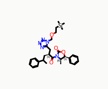 CC(C[C@@H](Cc1nnnn1COCC[Si](C)(C)C)C(=O)N1C(=O)O[C@@H](c2ccccc2)[C@H]1C)c1ccccc1